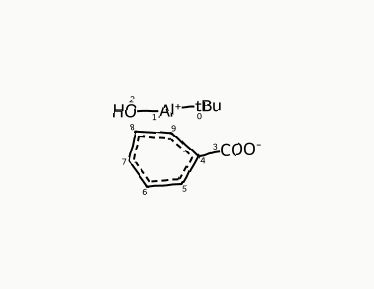 C[C](C)(C)[Al+][OH].O=C([O-])c1ccccc1